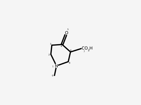 CN1CCC(=O)C(C(=O)O)C1